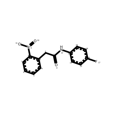 O=C(Cc1ccccc1[N+](=O)[O-])Nc1ccc(F)cc1